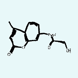 Cc1cc(=O)oc2cc(NC(=O)CO)ccc12